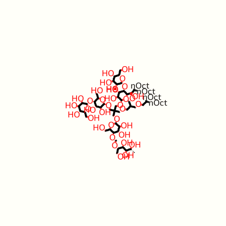 CCCCCCCCC(CCCCCCCC)COCC(COCC(CCCCCCCC)CCCCCCCC)COCC(CO[C@@H]1OC(CO)[C@@H](O[C@H]2OC(CO)[C@@H](O)C(O)C2O)C(O)C1O)(CO[C@@H]1OC(CO)[C@@H](O[C@H]2OC(CO)[C@@H](O)C(O)C2O)C(O)C1O)CO[C@@H]1OC(CO)[C@H](OCOC(CO)[C@@H](O)C(O)[C@@H](C)O)C(O)C1O